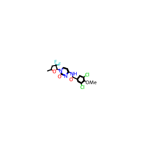 COc1c(Cl)cc(C(=O)Nc2ccn(C3OC(C)CC3(F)F)c(=O)n2)cc1Cl